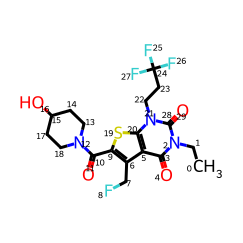 CCn1c(=O)c2c(CF)c(C(=O)N3CCC(O)CC3)sc2n(CCC(F)(F)F)c1=O